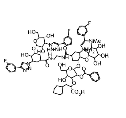 CN/C(=C\N(N)C1CC(C(=O)NCCNC(=O)C2CC(n3cc(-c4cccc(F)c4)nn3)C(O)[C@H](O[C@@H]3OC(CO)[C@H](O)C(N4C=C(c5cccc(F)c5)NN4)C3O)C2)C[C@@H](O[C@@H]2OC(CO)[C@H](O)C(O[C@@H](CC3CCCCC3)C(=O)O)C2OC(=O)c2ccccc2)C1O[C@@H]1OC(C)[C@@H](O)C(O)C1O)c1cccc(F)c1